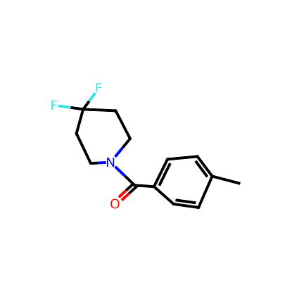 Cc1ccc(C(=O)N2CCC(F)(F)CC2)cc1